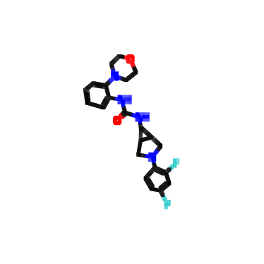 O=C(Nc1ccccc1N1CCOCC1)NC1C2CN(c3ccc(F)cc3F)CC21